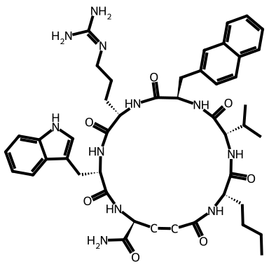 CCCC[C@@H]1NC(=O)CC[C@@H](C(N)=O)NC(=O)[C@H](Cc2c[nH]c3ccccc23)NC(=O)[C@H](CCCN=C(N)N)NC(=O)[C@@H](Cc2ccc3ccccc3c2)NC(=O)[C@H](C(C)C)NC1=O